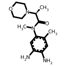 Cc1cc(N)c(N)cc1N(C)C(=O)[C@H](C)N1CCOCC1